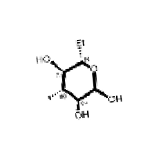 CC[C@@H]1OC(O)[C@@H](O)[C@H](C)[C@H]1O